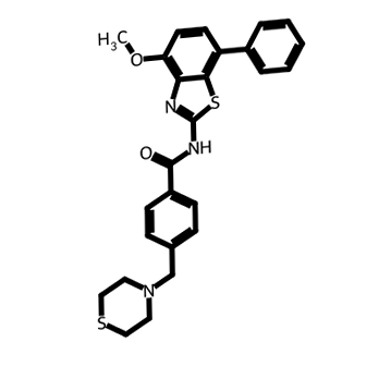 COc1ccc(-c2ccccc2)c2sc(NC(=O)c3ccc(CN4CCSCC4)cc3)nc12